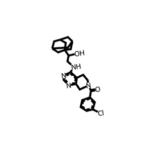 O=C(c1cccc(Cl)c1)N1CCc2c(ncnc2NCC(O)C23CC4CC(CC(C4)C2)C3)C1